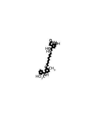 Cc1ccc(C(NC(=O)O)c2ccccc2)cc1OCCCCCCCCCNCC(O)c1ccc(O)c2[nH]c(=O)ccc12